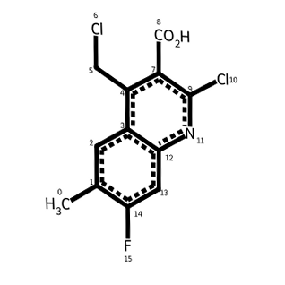 Cc1cc2c(CCl)c(C(=O)O)c(Cl)nc2cc1F